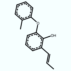 CC=Cc1cccc(Oc2ccccc2C)c1O